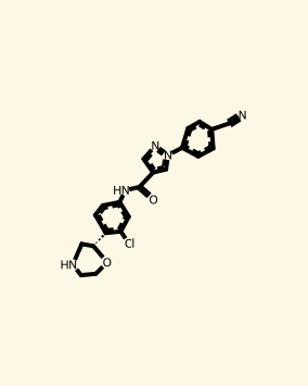 N#Cc1ccc(-n2cc(C(=O)Nc3ccc([C@H]4CNCCO4)c(Cl)c3)cn2)cc1